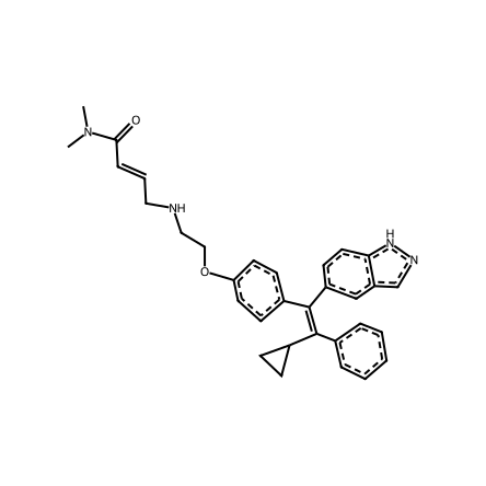 CN(C)C(=O)C=CCNCCOc1ccc(C(=C(c2ccccc2)C2CC2)c2ccc3[nH]ncc3c2)cc1